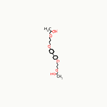 CC(O)COCCCCOc1ccc(-c2ccc(OCCCCOCC(C)O)cc2)cc1